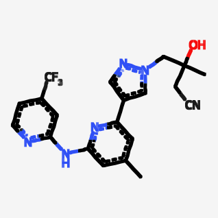 Cc1cc(Nc2cc(C(F)(F)F)ccn2)nc(-c2cnn(CC(C)(O)CC#N)c2)c1